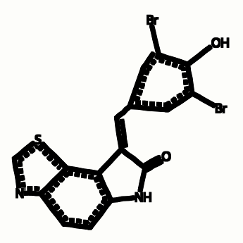 O=C1Nc2ccc3ncsc3c2C1=Cc1cc(Br)c(O)c(Br)c1